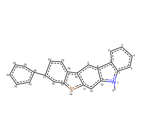 Cn1c2ccccc2c2cc3c(cc21)sc1cc(-c2ccccc2)ccc13